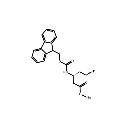 CCCOC[C@H](CC(=O)OC(C)(C)C)NC(=O)OCC1c2ccccc2-c2ccccc21